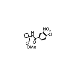 COOCC1(NC(=O)c2ccc(Cl)c([N+](=O)[O-])c2)CCC1